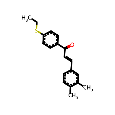 CCSc1ccc(C(=O)/C=C/c2ccc(C)c(C)c2)cc1